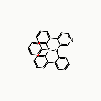 c1ccc([Si]23c4ccccc4-c4ccccc4N2c2cnccc2-c2ccccc23)cc1